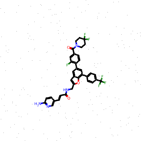 Nc1ccc(C=CC(=O)NCc2cc3cc(-c4ccc(C(=O)N5CCC(F)(F)CC5)cc4F)cc(-c4ccc(C(F)(F)F)cc4)c3o2)cn1